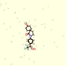 O=C1CCC2(CC1)CCN(c1ccc([C@@H](O)C(F)(F)F)cc1)C2=O